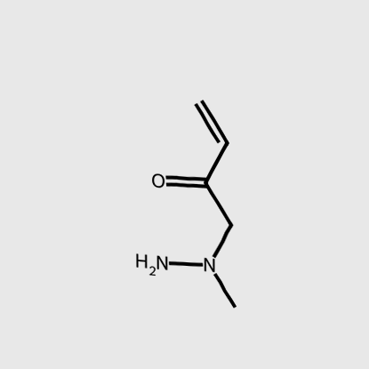 C=CC(=O)CN(C)N